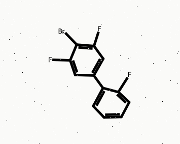 Fc1ccccc1-c1cc(F)c(Br)c(F)c1